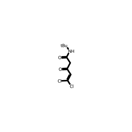 CC(C)(C)NC(=O)CC(=O)C=C(Cl)Cl